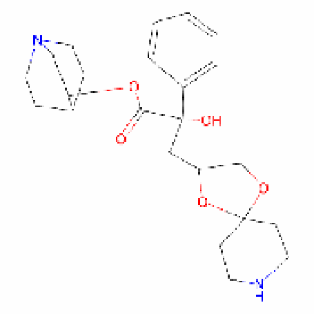 O=C(OC1CN2CCC1CC2)C(O)(CC1COC2(CCNCC2)O1)c1ccccc1